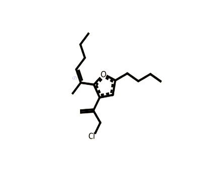 C=C(CCl)c1cc(CCCC)oc1/C(C)=C\CCC